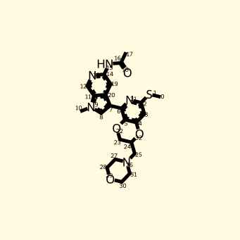 CSc1cc2c(c(-c3cn(C)c4cnc(NC(C)=O)cc34)n1)OCC(CN1CCOCC1)O2